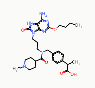 CCCCOc1nc(N)c2[nH]c(=O)n(CCCN(Cc3ccc(C(C)C(=O)O)cc3)C(=O)C3CCN(C)CC3)c2n1